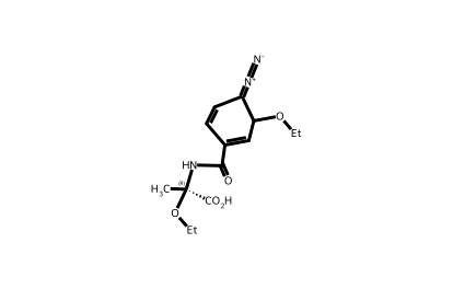 CCOC1C=C(C(=O)N[C@](C)(OCC)C(=O)O)C=CC1=[N+]=[N-]